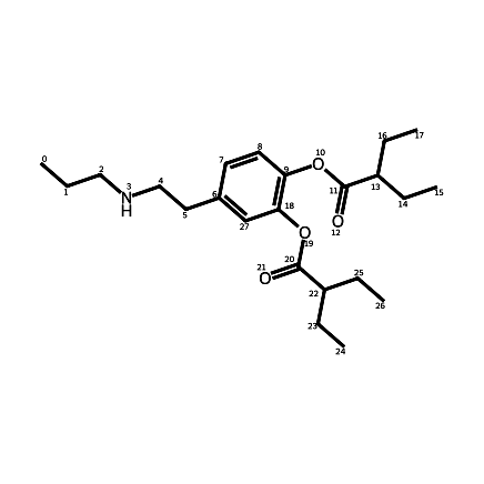 CCCNCCc1ccc(OC(=O)C(CC)CC)c(OC(=O)C(CC)CC)c1